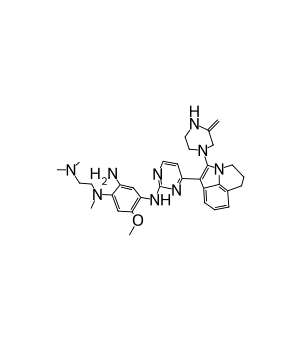 C=C1CN(c2c(-c3ccnc(Nc4cc(N)c(N(C)CCN(C)C)cc4OC)n3)c3cccc4c3n2CCC4)CCN1